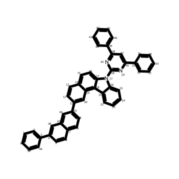 c1ccc(-c2ccc3ccc(-c4ccc5ccc6c(c5c4)c4ccccc4n6-c4nc(-c5ccccc5)cc(-c5ccccc5)n4)cc3c2)cc1